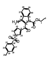 CCOC(=O)n1c(C(=O)c2ccn(S(=O)(=O)c3ccc(C)cc3)c2)c(N)c2ccccc21